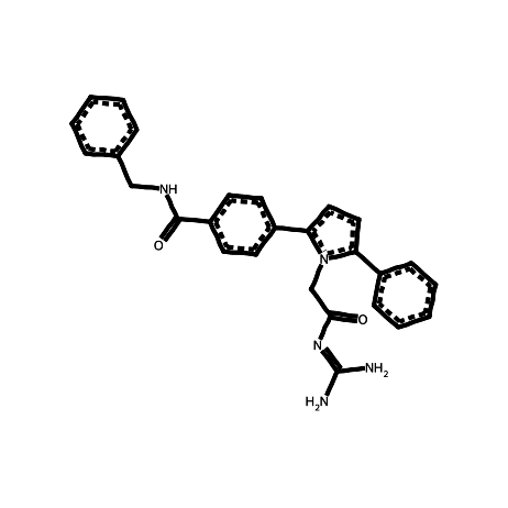 NC(N)=NC(=O)Cn1c(-c2ccccc2)ccc1-c1ccc(C(=O)NCc2ccccc2)cc1